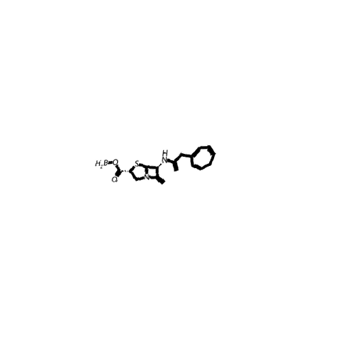 BOC(=O)[C@H]1CN2C(=C)[C@@H](NC(=C)CC3=CC=CCC=C3)C2S1